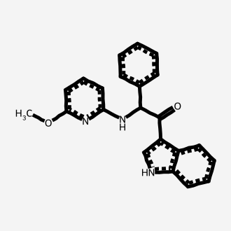 COc1cccc(NC(C(=O)c2c[nH]c3ccccc23)c2ccccc2)n1